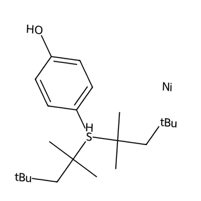 CC(C)(C)CC(C)(C)[SH](c1ccc(O)cc1)C(C)(C)CC(C)(C)C.[Ni]